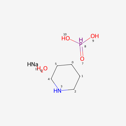 C1CCNCC1.O.O=[PH](O)O.[NaH]